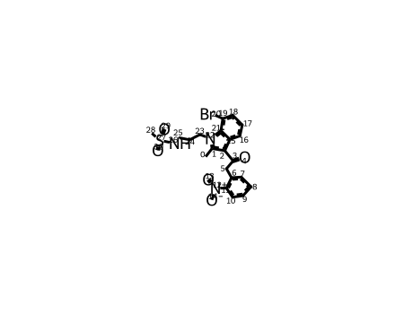 Cc1c(C(=O)Cc2ccccc2[N+](=O)[O-])c2cccc(Br)c2n1CCCNS(C)(=O)=O